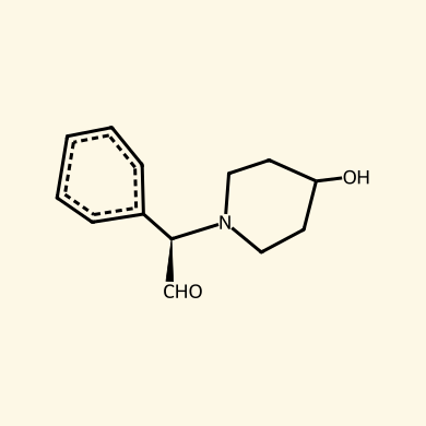 O=C[C@@H](c1ccccc1)N1CCC(O)CC1